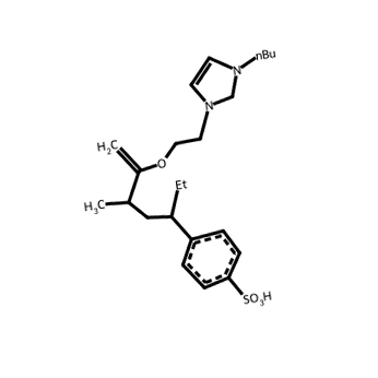 C=C(OCCN1C=CN(CCCC)C1)C(C)CC(CC)c1ccc(S(=O)(=O)O)cc1